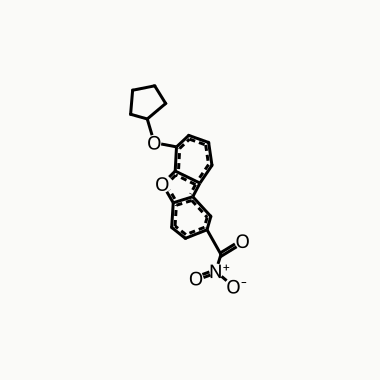 O=C(c1ccc2oc3c(OC4CCCC4)cccc3c2c1)[N+](=O)[O-]